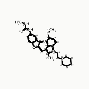 CNC(=O)Nc1ccc2c(c1)C(=O)C(=Cc1c(C)n(CCN3CCCCC3)c3ccc(OC)cc13)O2